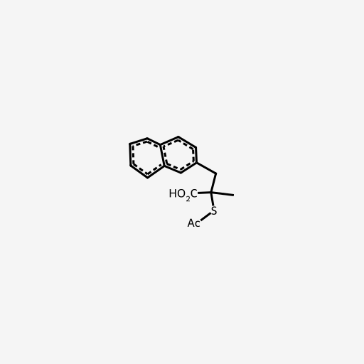 CC(=O)SC(C)(Cc1ccc2ccccc2c1)C(=O)O